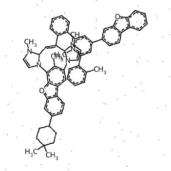 Cc1ccccc1-c1cc(-c2ccc3c(c2)oc2ccccc23)cc(-c2ccccc2/C2=C/C3N(C)C=CN3c3c(C)c(cc4c3oc3cc(C5CCC(C)(C)CC5)ccc34)N3C=CN(C)C23)[n+]1C